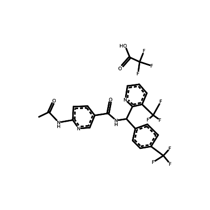 CC(=O)Nc1ccc(C(=O)NC(c2ccc(C(F)(F)F)cc2)c2ncccc2C(F)(F)F)cn1.O=C(O)C(F)(F)F